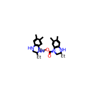 CCC1CN(C(=O)OC(C)(C)C)c2cc(C)c(C)cc2N1.CCC1CNc2cc(C)c(C)cc2N1